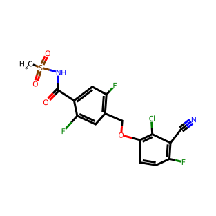 CS(=O)(=O)NC(=O)c1cc(F)c(COc2ccc(F)c(C#N)c2Cl)cc1F